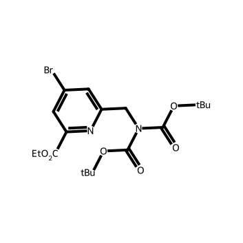 CCOC(=O)c1cc(Br)cc(CN(C(=O)OC(C)(C)C)C(=O)OC(C)(C)C)n1